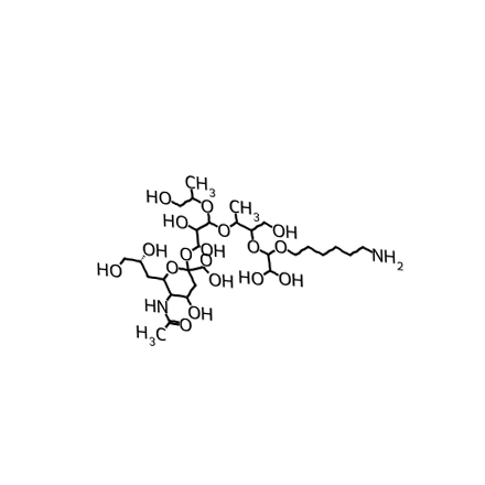 CC(=O)NC1C(O)CC(OC(O)C(O)C(OC(C)CO)OC(C)C(CO)OC(OCCCCCCN)C(O)O)(C(=O)O)OC1C[C@@H](O)CO